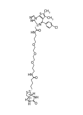 Cc1sc2c(c1C)C(c1ccc(Cl)cc1)=N[C@H](CC(=O)NCCCOCCOCCOCCCNC(=O)CCCC[C@H]1SC[C@H]3NC(=O)N[C@H]31)c1nncn1-2